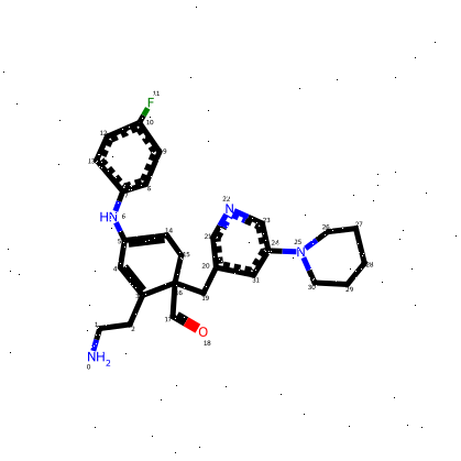 NCCC1=CC(Nc2ccc(F)cc2)=CCC1(C=O)Cc1cncc(N2CCCCC2)c1